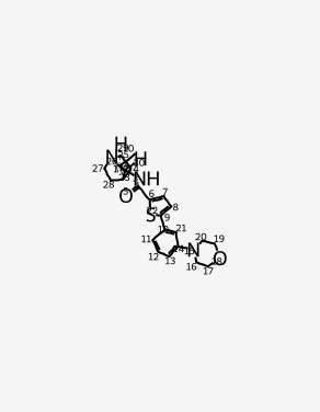 C[C@H]1[C@H](NC(=O)c2ccc(-c3cccc(N4CCOCC4)c3)s2)C2CCN1CC2